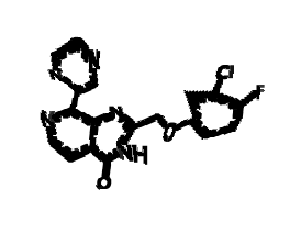 O=c1[nH]c(COc2ccc(F)c(Cl)c2)nc2c(-c3cnccn3)nccc12